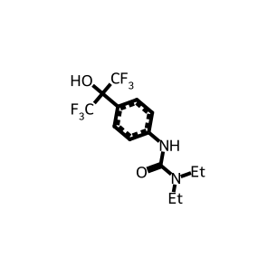 CCN(CC)C(=O)Nc1ccc(C(O)(C(F)(F)F)C(F)(F)F)cc1